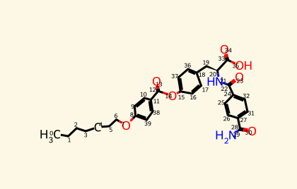 CCCCCCCOc1ccc(C(=O)Oc2ccc(C[C@H](NC(=O)c3ccc(C(N)=O)cc3)C(=O)O)cc2)cc1